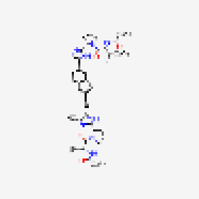 COC(=O)N[C@H](C(=O)N1CCC[C@H]1c1nc(C#N)c(C#Cc2ccc3cc(-c4cnc([C@@H]5CCCN5C(=O)[C@@H](NC(=O)OC)[C@@H](C)OC)[nH]4)ccc3c2)[nH]1)C(C)C